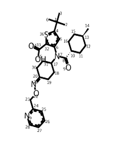 CC(C)(C)c1cc(N(C(=O)[C@H]2CC[C@H](C)CC2)C2CCC(=NOCc3ccccn3)CC2)c(C(=O)O)s1